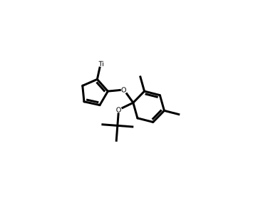 CC1=CCC(OC2=[C]([Ti])CC=C2)(OC(C)(C)C)C(C)=C1